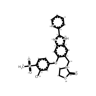 CS(=O)(=O)c1ccc(Oc2cc3nc(-c4ccccn4)[nH]c3cc2CN2CCOC2=O)cc1Cl